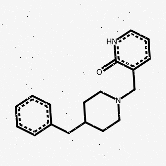 O=c1[nH]cccc1CN1CCC(Cc2ccccc2)CC1